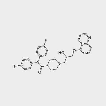 O=C(C1CCN(CC(O)COc2cccc3ncccc23)CC1)N(c1ccc(F)cc1)c1ccc(F)cc1